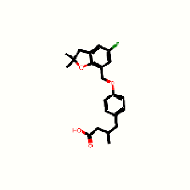 CC(CC(=O)O)Cc1ccc(OCc2cc(F)cc3c2OC(C)(C)C3)cc1